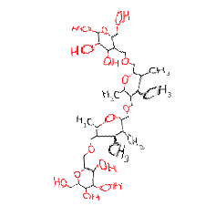 CC1OC(COCC2C(CO)OC(O)C(O)C2O)C(C)C(C)C1COCC1OC(C)C(COCC2OC(CO)C(O)C(O)C2O)C(C)C1C